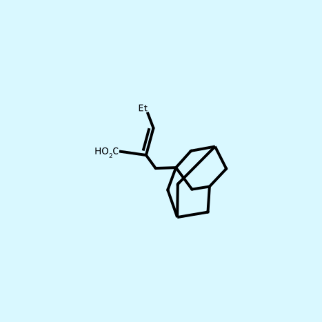 CCC=C(CC12CC3CC(CC(C3)C1)C2)C(=O)O